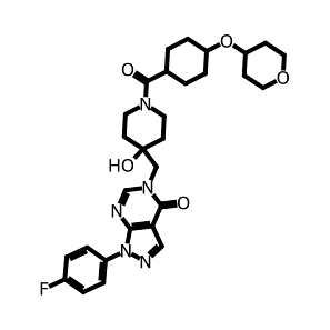 O=C(C1CCC(OC2CCOCC2)CC1)N1CCC(O)(Cn2cnc3c(cnn3-c3ccc(F)cc3)c2=O)CC1